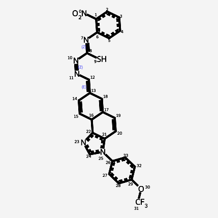 O=[N+]([O-])c1ccccc1/N=C(S)/N=N\C=C1/C=CC2C(=C1)C=Cc1c2ncn1-c1ccc(OC(F)(F)F)cc1